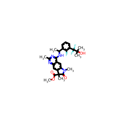 COC(=O)C1(C)C(=O)N(C)c2cc3c(NC(C)c4cccc(C(F)(F)C(C)(C)O)c4F)nc(C)nc3cc21